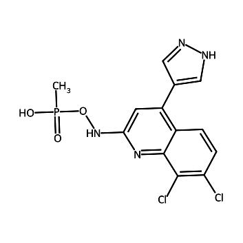 CP(=O)(O)ONc1cc(-c2cn[nH]c2)c2ccc(Cl)c(Cl)c2n1